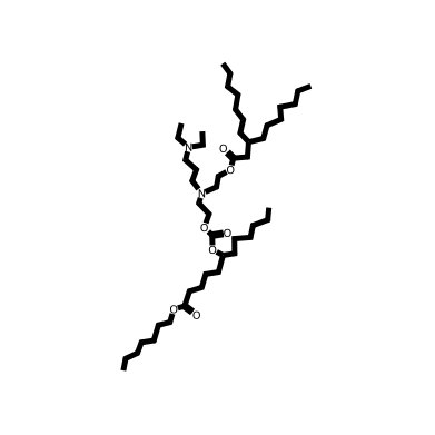 CCCCCCCOC(=O)CCCCC(CCCCCC)OC(=O)OCCN(CCCN(CC)CC)CCOC(=O)CC(CCCCCCC)CCCCCCC